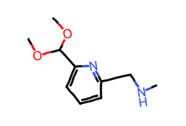 CNCc1cccc(C(OC)OC)n1